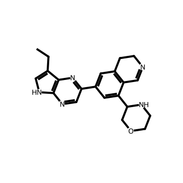 CCc1c[nH]c2ncc(-c3cc4c(c(C5COCCN5)c3)C=NCC4)nc12